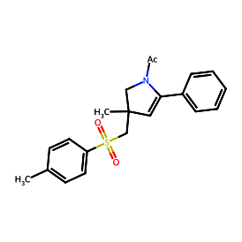 CC(=O)N1CC(C)(CS(=O)(=O)c2ccc(C)cc2)C=C1c1ccccc1